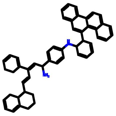 NC(/C=C(\C=C\C1CCCC2=CC=CCC21)C1=CC=CCC1)c1ccc(NC2C=CC=CC2c2cc3ccccc3c3ccc4ccccc4c23)cc1